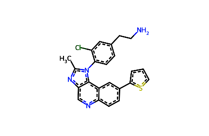 Cc1nc2cnc3ccc(-c4cccs4)cc3c2n1-c1ccc(CCN)cc1Cl